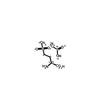 CS(=O)(=O)CC[C@H](N)C(=O)O.CS(=O)O